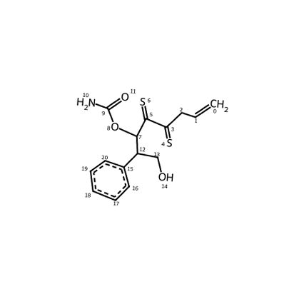 C=CCC(=S)C(=S)C(OC(N)=O)C(CO)c1ccccc1